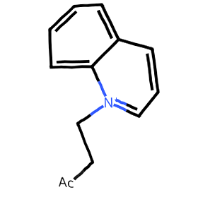 CC(=O)CC[n+]1cccc2ccccc21